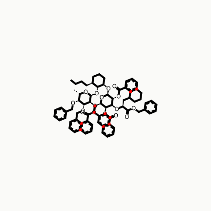 CCCC[C@H]1CCC[C@@H](O[C@@H]2O[C@H](COC(=O)c3ccccc3)[C@H](OC(=O)c3ccccc3)[C@H](O[C@@H](CC3CCCCC3)C(=O)OCc3ccccc3)[C@H]2OC(=O)c2ccccc2)[C@@H]1O[C@@H]1O[C@@H](C)[C@@H](OCc2ccccc2)[C@@H](OCc2ccccc2)[C@@H]1OCc1ccccc1